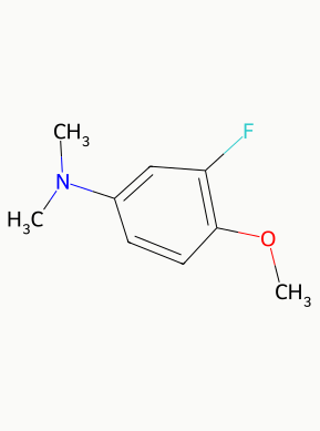 COc1ccc(N(C)C)cc1F